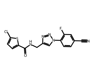 N#Cc1ccc(-n2cc(CNC(=O)c3ccc(Cl)s3)nn2)c(F)c1